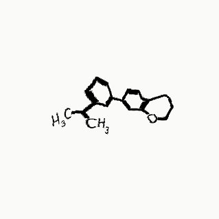 CC(C)c1cccc(-c2ccc3c(c2)OCCC3)c1